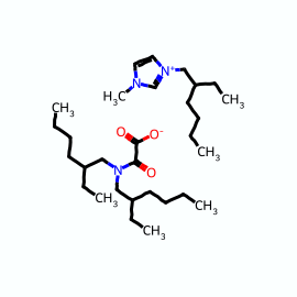 CCCCC(CC)CN(CC(CC)CCCC)C(=O)C(=O)[O-].CCCCC(CC)C[n+]1ccn(C)c1